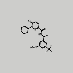 CNc1cc(C(C)NC(=O)c2ccc(=O)n(C3=CCCCC3)n2)cc(C(C)(F)F)c1